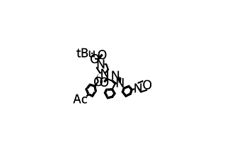 CC(=O)c1ccc(OC[C@@H]2CN(C(=O)OC(C)(C)C)CCN2C(=O)c2ncn(-c3cccc(N4CCOCC4)c3)c2-c2ccccc2)cc1